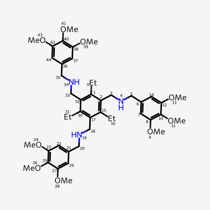 CCc1c(CNCc2cc(OC)c(OC)c(OC)c2)c(CC)c(CNCc2cc(OC)c(OC)c(OC)c2)c(CC)c1CNCc1cc(OC)c(OC)c(OC)c1